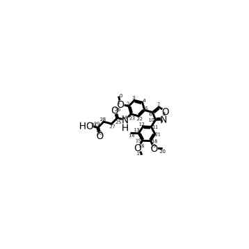 COc1ccc(-c2conc2-c2cc(C)c(OC)c(OC)c2)cc1NC(=O)CCC(=O)O